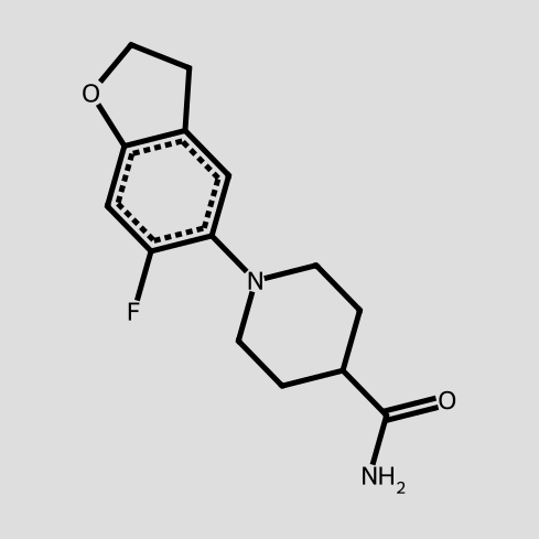 NC(=O)C1CCN(c2cc3c(cc2F)OCC3)CC1